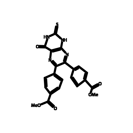 COC(=O)c1ccc(-c2nc3[nH]c(=S)[nH]c(=O)c3nc2-c2ccc(C(=O)OC)cc2)cc1